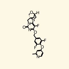 Cc1cc(Oc2c(F)cc(COc3nc(=O)n4c(c3F)N3C[C@@H]5C[C@]3(CO5)C4)cc2F)ccn1